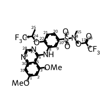 COc1cc(OC)c2c(Nc3cc(S(=O)(=O)N(C)OC(=O)C(F)(F)F)ccc3OC(C)C(F)(F)F)ncnc2c1